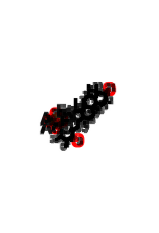 C=C(C(=O)[C@H](OC(C)=O)[C@@H](C)[C@H]1[C@@H](OC(C)=O)C[C@@]2(C)[C@@H]3CC[C@H]4[C@H](C)C(=O)C=C[C@@]45C[C@@]35CC[C@]12C)[C@@H](C)COP(=O)(OCC)OCC